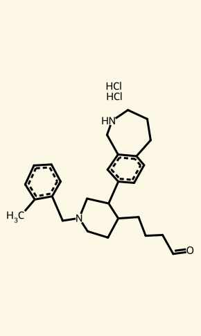 Cc1ccccc1CN1CCC(CCCC=O)C(c2ccc3c(c2)CNCCC3)C1.Cl.Cl